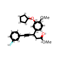 COC(=O)CC(C#Cc1cccc(F)c1)c1ccc(OC)c(OC2CCCC2)c1